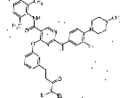 CCN(CC)C(=O)CCc1cccc(Oc2nc(Nc3ccc(N4CCN(C)CC4)c(F)c3)ncc2C(=O)Nc2c(C)cccc2C)c1